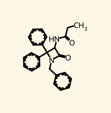 CCC(=O)NC1C(=O)N(Cc2ccccc2)C1(c1ccccc1)c1ccccc1